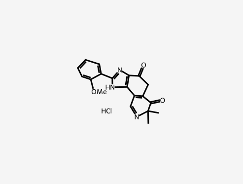 COc1ccccc1-c1nc2c([nH]1)C1=C(CC2=O)C(=O)C(C)(C)N=C1.Cl